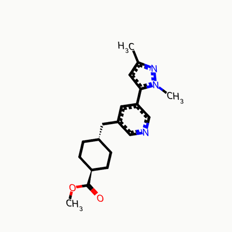 COC(=O)[C@H]1CC[C@H](Cc2cncc(-c3cc(C)nn3C)c2)CC1